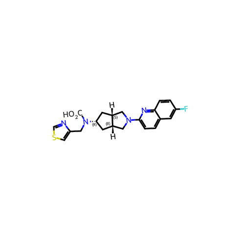 O=C(O)N(Cc1cscn1)[C@@H]1C[C@@H]2CN(c3ccc4cc(F)ccc4n3)C[C@@H]2C1